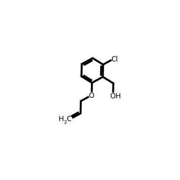 C=CCOc1cccc(Cl)c1CO